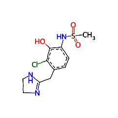 CS(=O)(=O)Nc1ccc(CC2=NCCN2)c(Cl)c1O